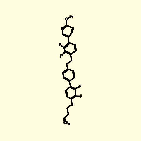 C=CCCOc1ccc(-c2ccc(CCc3ccc(-c4ccc(OCC)nc4)c(F)c3F)cc2)c(F)c1F